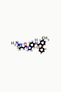 Cc1ccc(-c2ccccc2)c(C(=O)Nc2ccc3c(c2)CCN3C(=O)Cc2csc(N)n2)c1